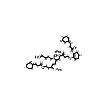 CCCCCC(CCOC(=O)CCC1CCCCC1)CCC(CCC(CCCCC)CCS[C@@H]1CCCC[C@H]1OC(=O)CCC1CCCCC1)N(C)CCCCO